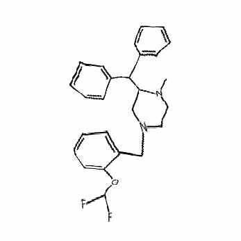 CN1CCN(Cc2ccccc2OC(F)F)CC1C(c1ccccc1)c1ccccc1